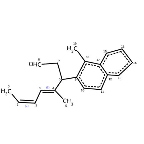 C/C=C\C=C(/C)C(CC=O)c1ccc2ccccc2c1C